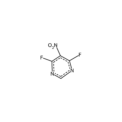 O=[N+]([O-])c1c(F)ncnc1F